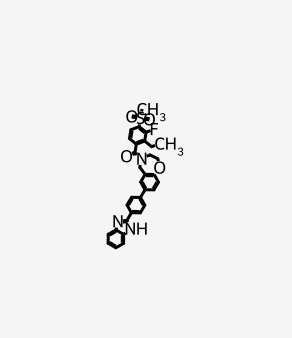 CCc1c(C(=O)N2CCOc3ccc(-c4ccc(-c5nc6ccccc6[nH]5)cc4)cc3C2)ccc(S(C)(=O)=O)c1F